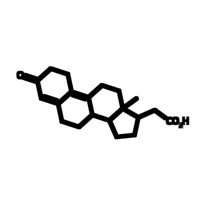 CC12CCC3=C4CCC(=O)C=C4CCC3C1CCC2CC(=O)O